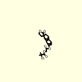 CCC(C)(C)C(=O)OCC(=O)OC1CC2CC1C1C2C2CC1C1(CCOC1=O)C2